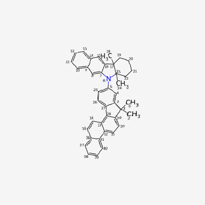 CC1(C)c2cc(N3c4cc5ccccc5cc4C4(C)CCCCC34C)ccc2-c2c1ccc1c2ccc2ccccc21